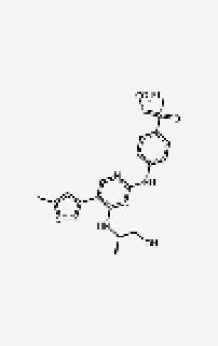 CCOC(=O)N=S(C)(=O)c1ccc(Nc2ncc(-c3csc(C)c3)c(N[C@H](C)CO)n2)cc1